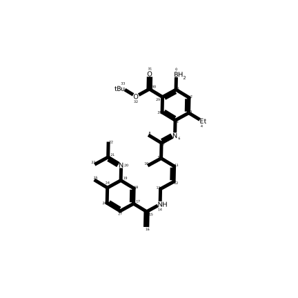 Bc1cc(CC)c(/N=C(\C)C(C)/C=C\CNC(=C)C2=CC(N=C(C)C)C(C)C=C2)cc1C(=O)OC(C)(C)C